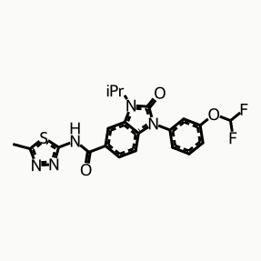 Cc1nnc(NC(=O)c2ccc3c(c2)n(C(C)C)c(=O)n3-c2cccc(OC(F)F)c2)s1